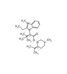 CCc1n([C@@H](C(=O)O[C@@H]2C[C@H](C)CC[C@H]2C(C)C)C(C)(C)C)c2ccccc2[n+]1C